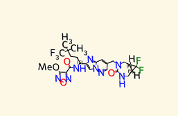 COc1nonc1C(=O)N[C@@H](CCC(C)(C)C(F)(F)F)c1cn2ncc(CN3C[C@H]4[C@@H](CNC3=O)C4(F)F)cc2n1